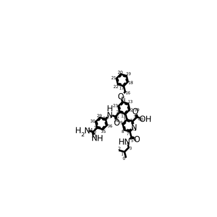 CC(C)CNC(=O)c1ccc(-c2ccc(OCc3ccccc3)cc2C(=O)Nc2ccc(C(=N)N)cc2)c(C(=O)O)n1